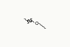 CCCCCCC[C@H]1CC[C@H](CCc2cc3sc(CCC)cc3s2)CC1